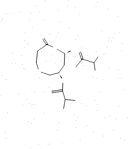 CC(C)C(=O)O[C@H]1[C@H](C)OC(=O)[C@@H](N)COC[C@@H]1OC(=O)C(C)C.Cl